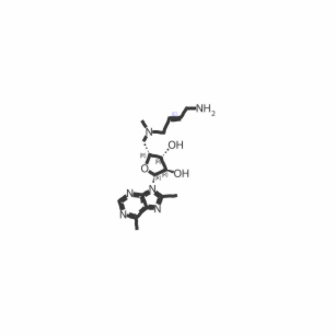 Cc1ncnc2c1nc(C)n2[C@@H]1O[C@H](CN(C)C/C=C/CN)[C@H](O)[C@H]1O